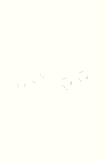 C1=C(c2cccs2)CCN(CCCc2cncc(-c3ccccc3)c2)C1